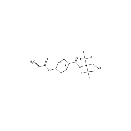 C=CC(=O)OC1CC2CC1CC2C(=O)OC(CS)(C(F)(F)F)C(F)(F)F